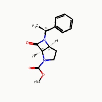 C[C@@H](c1ccccc1)N1C(=O)[C@H]2[C@@H]1CCN2C(=O)OC(C)(C)C